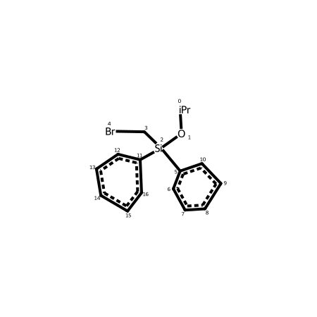 CC(C)O[Si](CBr)(c1ccccc1)c1ccccc1